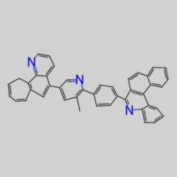 Cc1cc(-c2cc3c(c4ncccc24)CC=CC=C3)cnc1-c1ccc(-c2nc3ccccc3c3c2ccc2ccccc23)cc1